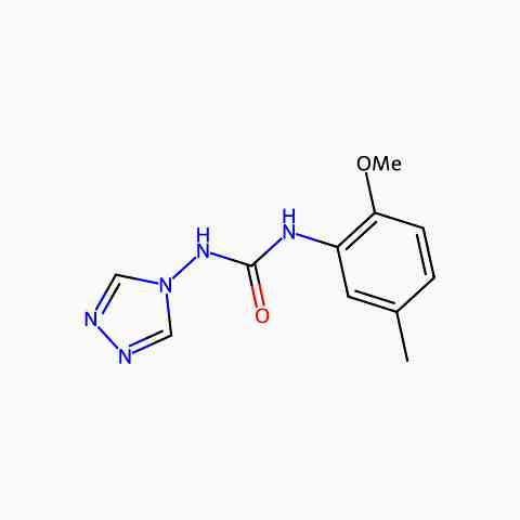 COc1ccc(C)cc1NC(=O)Nn1cnnc1